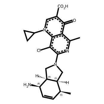 Cc1nc(N2C[C@@H]3[C@H](C2)[C@H](N)C=C[C@@H]3C)c(Cl)c2c1c(=O)c(C(=O)O)cn2C1CC1